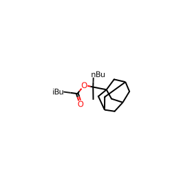 CCCCC(C)(OC(=O)C(C)CC)C12CC3CC(CC(C3)C1)C2